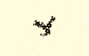 COc1cc(-n2nc(NC(=O)[C@@H]3CNC(=O)C3)cc2-c2cccc(COCC(F)(F)F)c2)ccc1F